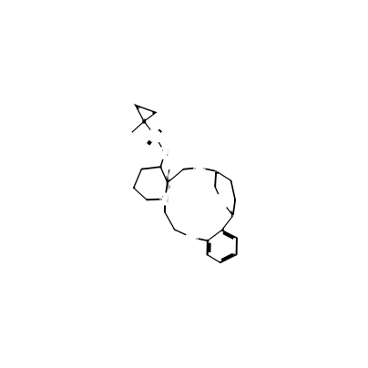 CC1(S(=O)(=O)NC2CCCN3CCOc4ccccc4C4CCC(CC4)OC[C@@H]23)CC1